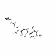 O=C(CCCCCO)c1ccc(-c2ccc(Br)cc2F)cc1